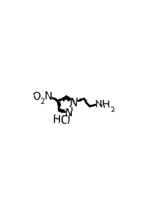 Cl.NCCn1cc([N+](=O)[O-])cn1